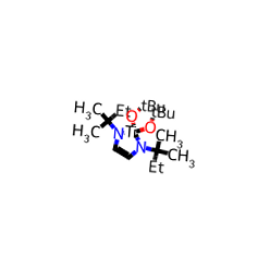 CCC(C)(C)[N]1C=C[N](C(C)(C)CC)[Ti]1([O]C(C)(C)C)[O]C(C)(C)C